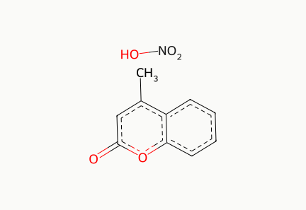 Cc1cc(=O)oc2ccccc12.O=[N+]([O-])O